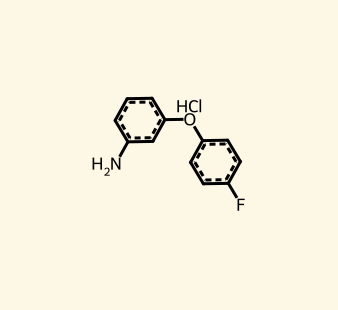 Cl.Nc1cccc(Oc2ccc(F)cc2)c1